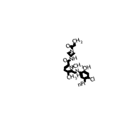 C=CC(=O)N1CC(NC(=O)C2=CCC(C)=C(CNc3cc(CCC)c(Cl)cc3O)N2C)C1